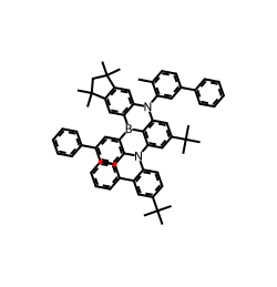 Cc1ccc(-c2ccccc2)cc1N1c2cc3c(cc2B2c4cc(-c5ccccc5)ccc4N(c4ccc(C(C)(C)C)cc4-c4ccccc4)c4cc(C(C)(C)C)cc1c42)C(C)(C)CC3(C)C